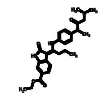 CCC/C(Nc1ccc(N(C)C(=O)CN(C)C)cc1)=C1/C(=O)Nc2cc(C(=O)OCC)ccc21